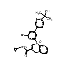 CC(C)(O)c1ccc(-c2cc(Br)cc([N+]3([O-])C=C(C(=O)NC4CC4)Cc4cccnc43)c2)cn1